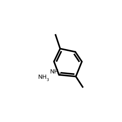 Cc1ccc(C)cc1.N.N